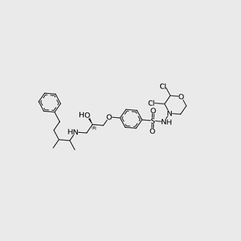 CC(CCc1ccccc1)C(C)NC[C@@H](O)COc1ccc(S(=O)(=O)NN2CCOC(Cl)C2Cl)cc1